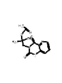 CC(=O)OC(C)(C)Cn1c(=O)[nH]c2cccnc2c1=O